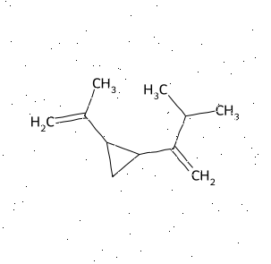 C=C(C)C1CC1C(=C)C(C)C